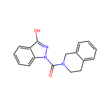 O=C(N1CCc2ccccc2C1)n1nc(O)c2ccccc21